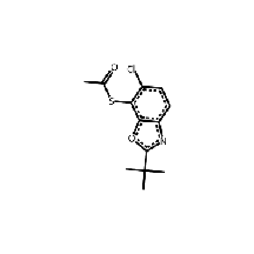 CC(=O)Sc1c(Cl)ccc2nc(C(C)(C)C)oc12